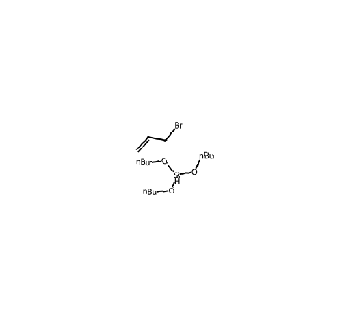 C=CCBr.CCCCO[SiH](OCCCC)OCCCC